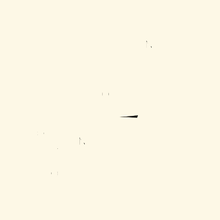 Cc1cc2c(cn1)O[C@]1(C2)C[C@H](C)N(C(=O)O)C1